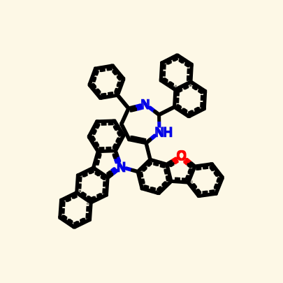 C1=C(c2c(-n3c4ccccc4c4cc5ccccc5cc43)ccc3c2oc2ccccc23)NC(c2cccc3ccccc23)N=C(c2ccccc2)C1